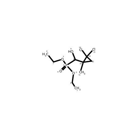 CCOP(=O)(OCC)C(O)C1(C)CC1(Cl)Cl